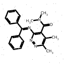 Cc1nnc(N=C(c2ccccc2)c2ccccc2)c(C(=O)N(C)C)c1C